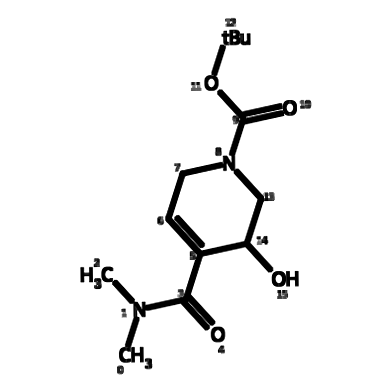 CN(C)C(=O)C1=CCN(C(=O)OC(C)(C)C)CC1O